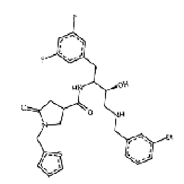 CCc1cccc(CNC[C@H](O)[C@H](Cc2cc(F)cc(F)c2)NC(=O)C2CC(=O)N(Cc3cccs3)C2)c1